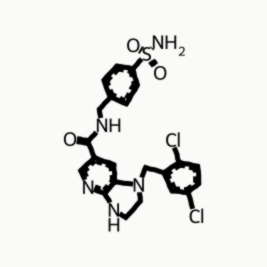 NS(=O)(=O)c1ccc(CNC(=O)c2cnc3c(c2)N(Cc2cc(Cl)ccc2Cl)CCN3)cc1